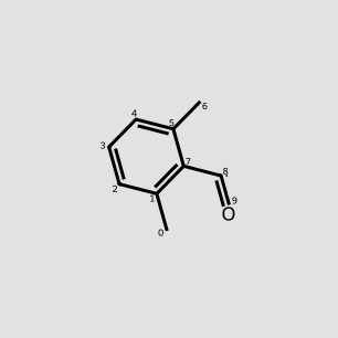 Cc1cccc(C)c1[C]=O